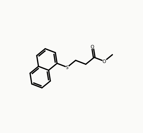 COC(=O)CCSc1cccc2ccccc12